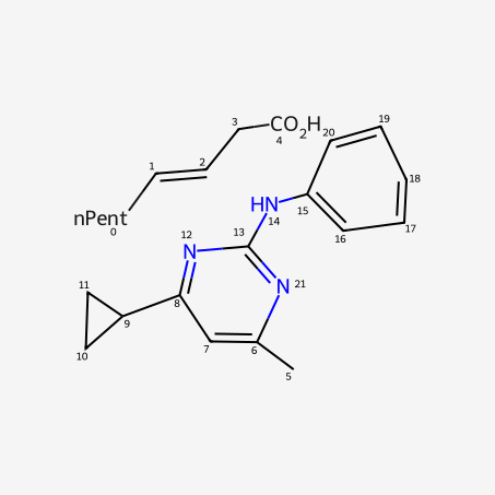 CCCCC/C=C/CC(=O)O.Cc1cc(C2CC2)nc(Nc2ccccc2)n1